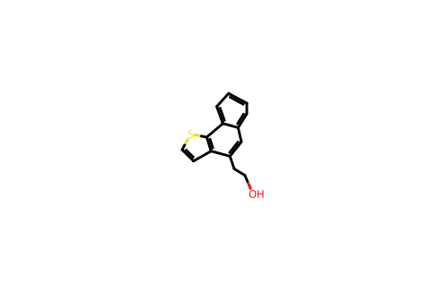 OCCc1cc2ccccc2c2sccc12